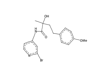 COc1ccc(CCC(C)(O)C(=O)Nc2ccnc(Br)c2)cc1